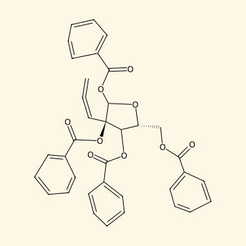 C=C=C[C@]1(OC(=O)c2ccccc2)C(OC(=O)c2ccccc2)O[C@H](COC(=O)c2ccccc2)C1OC(=O)c1ccccc1